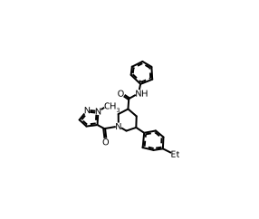 CCc1ccc(C2CC(C(=O)Nc3ccccc3)CN(C(=O)c3ccnn3C)C2)cc1